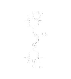 [CH2]CCCC(/[C]=N/C1CC(C)(C)N(C=O)C(C)(C)C1)=NC1CC(C)(C)N(C=O)C(C)(C)C1